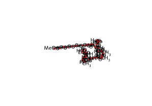 CC[C@]1(O)C(=O)OCc2c1cc1n(c2=O)Cc2c-1nc1cc(F)c(C)c3c1c2[C@@H](NC(=O)NCCNC(=O)CNC(=O)[C@@H](C)NC(=O)[C@@H](C)NC(=O)[C@@H](C)NC(=O)[C@@H](CCCCNC(=O)COCCOCCOCCOCCOCCOCCOCCOCCOCCOC)NC(=O)CCCN1C(=O)C=CC1=O)CC3